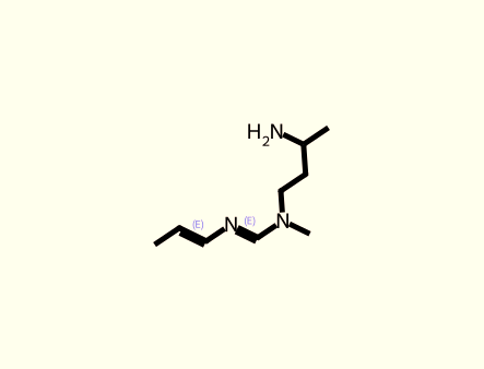 C/C=C/N=C/N(C)CCC(C)N